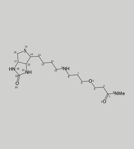 CNC(=O)CCOCCCNCCCCC1SCC2NC(=O)NC21